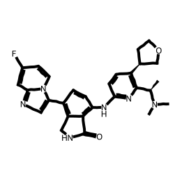 C[C@H](c1nc(Nc2ccc(-c3cnc4cc(F)ccn34)c3c2C(=O)NC3)ccc1[C@H]1CCOC1)N(C)C